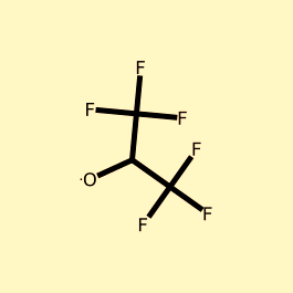 [O]C(C(F)(F)F)C(F)(F)F